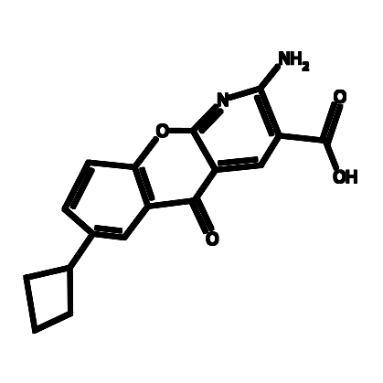 Nc1nc2oc3ccc(C4CCC4)cc3c(=O)c2cc1C(=O)O